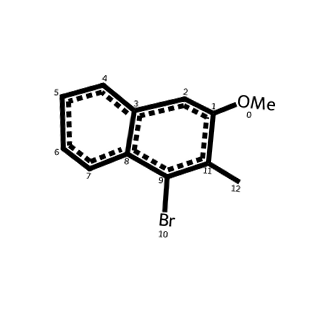 COc1cc2ccccc2c(Br)c1C